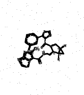 Cc1cccc(-c2scnc2C(=O)N2C[C@@H]3C[C@@H]3[C@H]2CNC(=O)c2c(C)nc3sccn23)c1